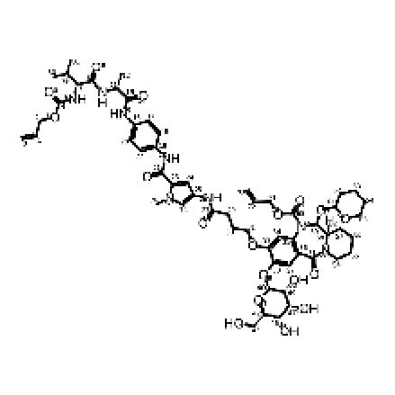 C=CCOC(=O)N[C@H](C(=O)N[C@@H](C)C(=O)Nc1ccc(NC(=O)c2cc(NC(=O)CCCOc3cc4c(cc3O[C@@H]3O[C@H](CO)[C@@H](O)[C@H](O)[C@H]3O)C(=O)N3CCCC[C@H]3C(OC3CCCCO3)N4C(=O)OCC=C)cn2C)cc1)C(C)C